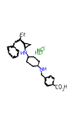 CCC(=Cc1ccccc1)C1CC1NC1CCC(NCc2ccc(C(=O)O)cc2)CC1.Cl.Cl